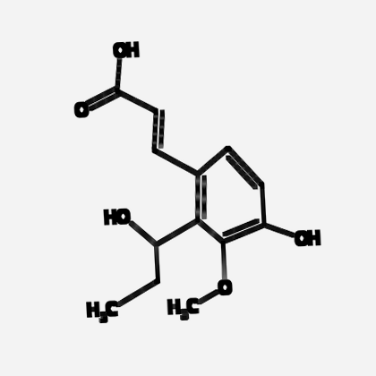 CCC(O)c1c(C=CC(=O)O)ccc(O)c1OC